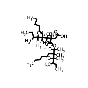 CCCCCCC(C)(C(C)(C)OC(=O)C(O)(CC(=O)O)C(C)(C)C(C)(CCCCCC)C(C)(C)C(C)CC)C(C)(C)C(C)CC